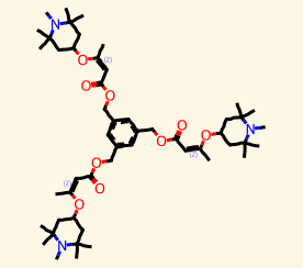 C/C(=C/C(=O)OCc1cc(COC(=O)/C=C(/C)OC2CC(C)(C)N(C)C(C)(C)C2)cc(COC(=O)/C=C(/C)OC2CC(C)(C)N(C)C(C)(C)C2)c1)OC1CC(C)(C)N(C)C(C)(C)C1